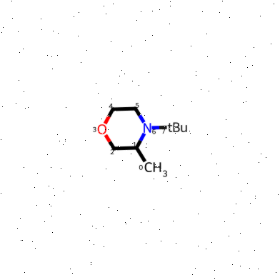 CC1COCCN1C(C)(C)C